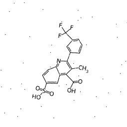 Cc1c(-c2cccc(C(F)(F)F)c2)nc2ccc(S(=O)(=O)O)cc2c1C(=O)O